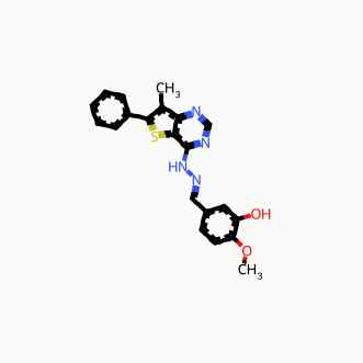 COc1ccc(/C=N/Nc2ncnc3c(C)c(-c4ccccc4)sc23)cc1O